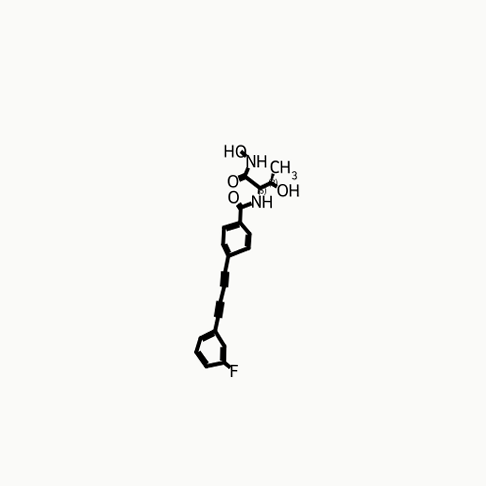 C[C@@H](O)[C@H](NC(=O)c1ccc(C#CC#Cc2cccc(F)c2)cc1)C(=O)NO